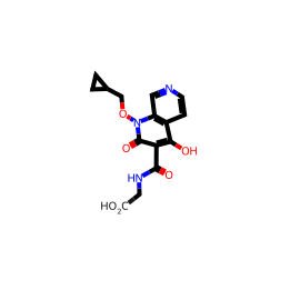 O=C(O)CNC(=O)c1c(O)c2ccncc2n(OCC2CC2)c1=O